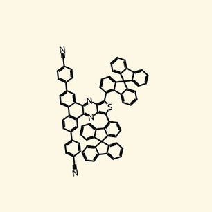 N#Cc1ccc(-c2ccc3c4ccc(-c5ccc(C#N)cc5)cc4c4nc5c(-c6cccc7c6-c6ccccc6C76c7ccccc7-c7ccccc76)sc(-c6cccc7c6-c6ccccc6C76c7ccccc7-c7ccccc76)c5nc4c3c2)cc1